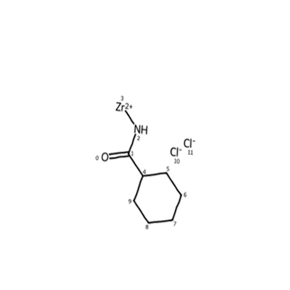 O=C([NH][Zr+2])C1CCCCC1.[Cl-].[Cl-]